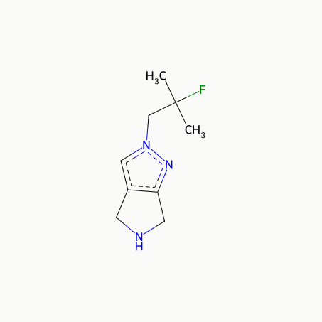 CC(C)(F)Cn1cc2c(n1)CNC2